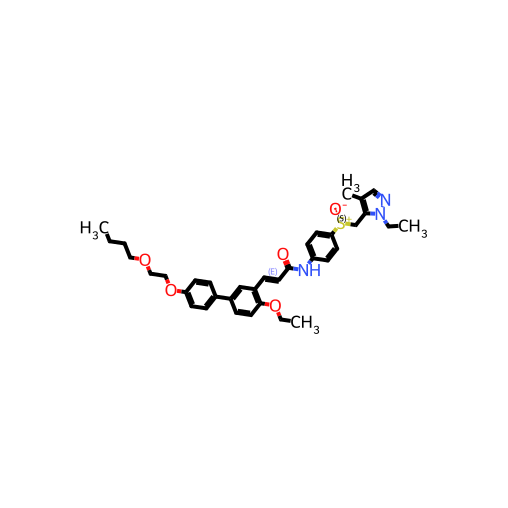 CCCCOCCOc1ccc(-c2ccc(OCC)c(/C=C/C(=O)Nc3ccc([S@+]([O-])Cc4c(C)cnn4CC)cc3)c2)cc1